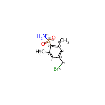 Cc1cc(CBr)cc(C)c1S(N)(=O)=O